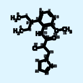 CCN(CC)c1ncnc(OC)c1NC(=O)C(Cl)Cn1cccn1